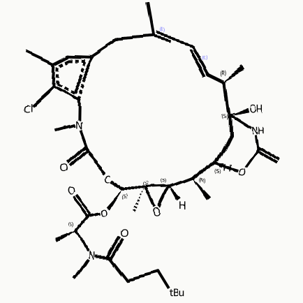 C=C1N[C@]2(O)C[C@H](O1)[C@@H](C)[C@@H]1O[C@@]1(C)[C@@H](OC(=O)[C@H](C)N(C)C(=O)CCC(C)(C)C)CC(=O)N(C)c1cc(cc(C)c1Cl)C/C(C)=C/C=C/[C@H]2C